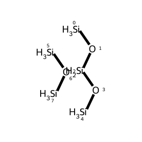 [SiH3]O[SiH2]O[SiH3].[SiH3]O[SiH3]